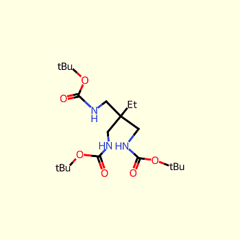 CCC(CNC(=O)OC(C)(C)C)(CNC(=O)OC(C)(C)C)CNC(=O)OC(C)(C)C